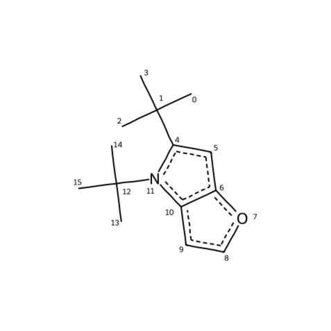 CC(C)(C)c1cc2occc2n1C(C)(C)C